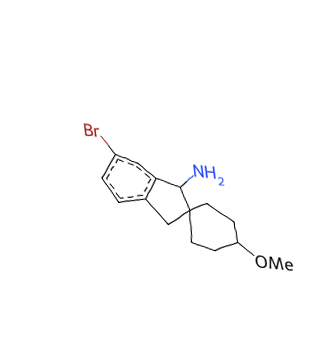 COC1CCC2(CC1)Cc1ccc(Br)cc1C2N